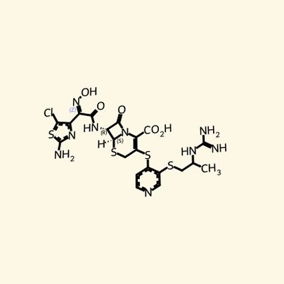 CC(CSc1cnccc1SC1=C(C(=O)O)N2C(=O)[C@@H](NC(=O)/C(=N\O)c3nc(N)sc3Cl)[C@@H]2SC1)NC(=N)N